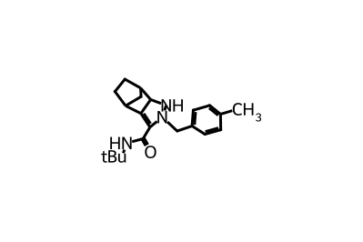 Cc1ccc(CN2NC3C(=C2C(=O)NC(C)(C)C)C2CCC3C2)cc1